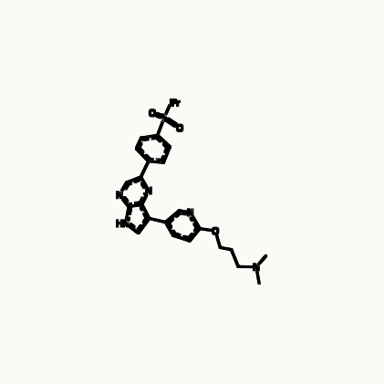 CC(C)S(=O)(=O)c1ccc(-c2cnc3[nH]cc(-c4ccc(OCCCN(C)C)nc4)c3n2)cc1